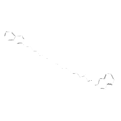 c1ccc2ncc(OCCOCCOCCOCCOCCOCCOc3cnc4ccccc4c3)cc2c1